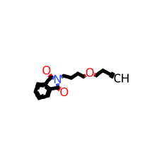 C#CCCOCCCCN1C(=O)c2ccccc2C1=O